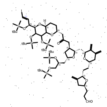 C=C1C[C@H](CC[C@@H]2O[C@@H](CCC=O)CC2=C)O[C@H](C[C@@H]2O[C@H](C[C@@H](CO[Si](C)(C)C(C)(C)C)O[Si](C)(C)C(C)(C)C)C[C@H]2CC(=O)C[C@H]2CC[C@@H]3O[C@H]([C@H](/C=C/I)O[Si](C)(C)C(C)(C)C)C(O[Si](C)(C)C(C)(C)C)C(O[Si](C)(C)C(C)(C)C)C3O2)C1=C